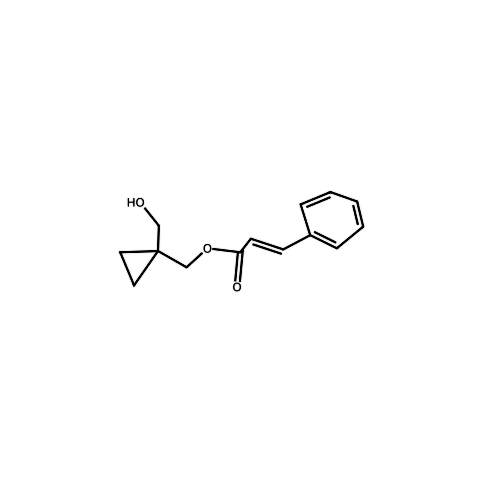 O=C(/C=C/c1ccccc1)OCC1(CO)CC1